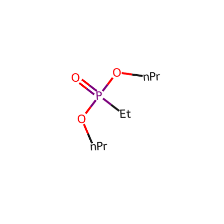 CCCOP(=O)(CC)OCCC